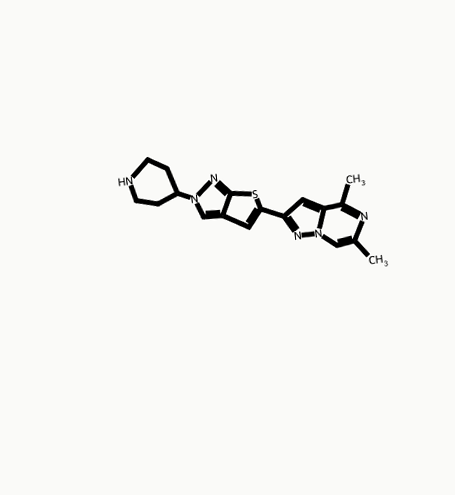 Cc1cn2nc(-c3cc4cn(C5CCNCC5)nc4s3)cc2c(C)n1